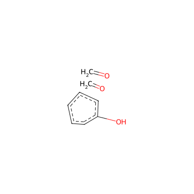 C=O.C=O.Oc1ccccc1